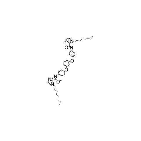 CCCCCCCCn1cc[n+](C)c1/C([O-])=N/c1ccc(Oc2cccc(Oc3ccc(/N=C(\[O-])c4n(CCCCCCCC)cc[n+]4C)cc3)c2)cc1